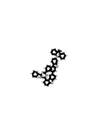 CC1(C)c2ccccc2N(c2ccc3c(c2)oc2cc(-c4ccc5oc6cccc(C7NC(c8ccccc8)=NC(c8ccccc8)N7)c6c5c4)ccc23)c2ccccc21